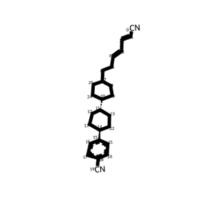 N#C/C=C/C=C/CCC1CCC([C@H]2CC[C@H](c3ccc(C#N)cc3)CC2)CC1